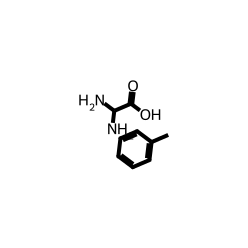 Cc1ccccc1.NC(N)C(=O)O